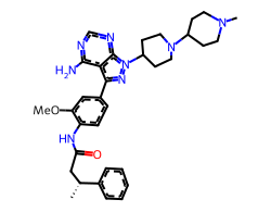 COc1cc(-c2nn(C3CCN(C4CCN(C)CC4)CC3)c3ncnc(N)c23)ccc1NC(=O)C[C@@H](C)c1ccccc1